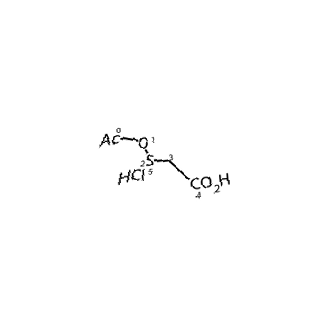 CC(=O)OSCC(=O)O.Cl